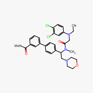 CNC(=O)c1cccc(-c2ccc(C(CN3CCOCC3)N(C)C(=O)CN(CC#N)c3ccc(Cl)c(Cl)c3)cc2)c1